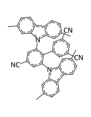 Cc1ccc2c3ccc(C)cc3n(-c3cc(C#N)cc(-n4c5cc(C)ccc5c5ccc(C)cc54)c3-c3cc(C#N)cc(C#N)c3)c2c1